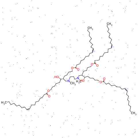 CCCCCCCC/C=C\CCCCCCCC(=O)OCCCCCC(O)C(CCCCOC(=O)CCCCCCC/C=C\CCCCCCCC)CN(C)CCCN(C)CC(CCCCOC(=O)CCCCCCC/C=C\CCCCCCCC)C(O)CCCCCOC(=O)CCCCCCC/C=C\CCCCCCCC